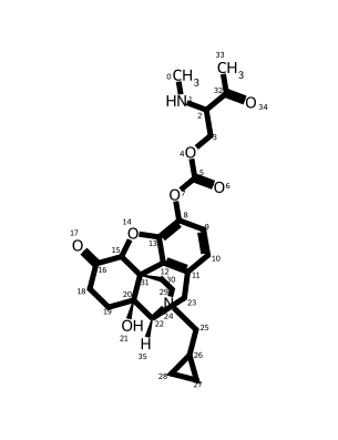 CNC(COC(=O)Oc1ccc2c3c1OC1C(=O)CC[C@@]4(O)[C@@H](C2)N(CC2CC2)CC[C@]314)C(C)=O